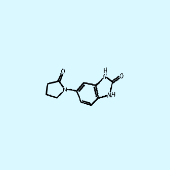 O=C1CCCN1c1ccc2[nH]c(=O)[nH]c2c1